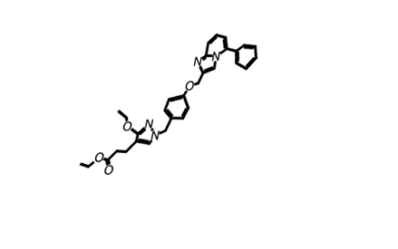 CCOC(=O)CCc1cn(Cc2ccc(OCc3cn4c(-c5ccccc5)cccc4n3)cc2)nc1OCC